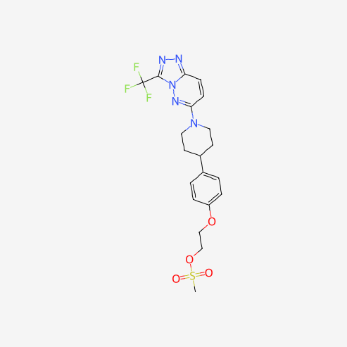 CS(=O)(=O)OCCOc1ccc(C2CCN(c3ccc4nnc(C(F)(F)F)n4n3)CC2)cc1